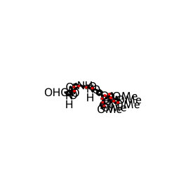 CC[C@H](C(=O)N1CCCC[C@H]1C(=O)O[C@H](CCc1ccc(OC)c(OC)c1)c1ccc(OCC(=O)NCCCCNc2ccc3c(c2)C(=O)N(C2CC(C=O)CNC2=O)C3=O)cc1)c1cc(OC)c(OC)c(OC)c1